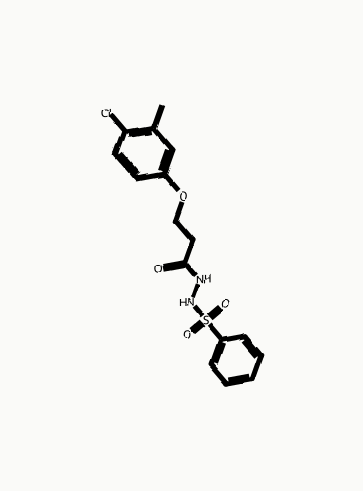 Cc1cc(OCCC(=O)NNS(=O)(=O)c2ccccc2)ccc1Cl